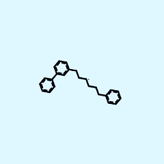 [CH](CCCc1ccccc1)CCc1cccc(-c2ccccc2)c1